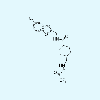 O=C(ONC[C@H]1CC[C@H](C(=O)NCc2cc3cc(Cl)ccc3o2)CC1)C(F)(F)F